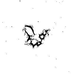 Cn1c(=O)oc2ccc(-c3ccc(CC(C#N)NC(=O)C4CNCCCO4)s3)cc21